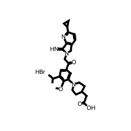 Br.COc1c(C(C)C)cc(C(=O)CN2Cc3ccc(C4CC4)nc3C2=N)cc1N1CCC(CC(=O)O)CC1